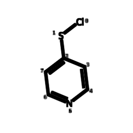 ClSc1ccncc1